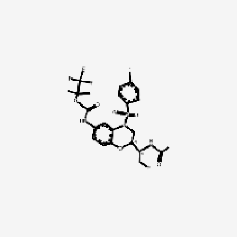 CC(=O)N[C@@H](CF)[C@@H]1CN(S(=O)(=O)c2ccc(F)cc2)c2cc(NC(=O)OC(C)(C)C(F)(F)F)ccc2O1